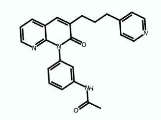 CC(=O)Nc1cccc(-n2c(=O)c(CCCc3ccncc3)cc3cccnc32)c1